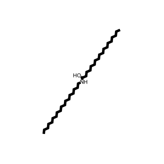 CCCCCCCCCCCCCCCCCCNC(O)CCCCCCCCCCCCCCCCC